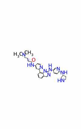 CN(C)C/C=C/C(=O)Nc1ccnc(-c2cccc3cnc(Nc4ccc(NC5CCNC5)nc4)nc23)c1